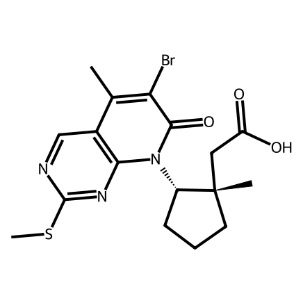 CSc1ncc2c(C)c(Br)c(=O)n([C@H]3CCC[C@@]3(C)CC(=O)O)c2n1